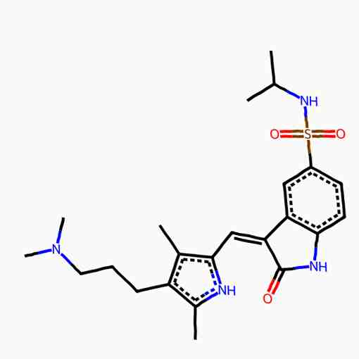 Cc1[nH]c(/C=C2\C(=O)Nc3ccc(S(=O)(=O)NC(C)C)cc32)c(C)c1CCCN(C)C